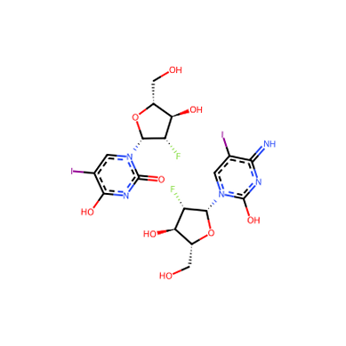 N=c1nc(O)n([C@@H]2O[C@H](CO)[C@@H](O)[C@@H]2F)cc1I.O=c1nc(O)c(I)cn1[C@@H]1O[C@H](CO)[C@@H](O)[C@@H]1F